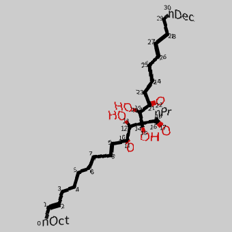 CCCCCCCCC=CCCCCCCCC(=O)C(O)C(O)(C(=O)CCC)C(O)C(=O)CCCCCCCCCCCCCCCCC